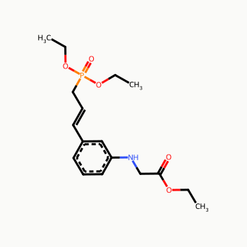 CCOC(=O)CNc1cccc(/C=C/CP(=O)(OCC)OCC)c1